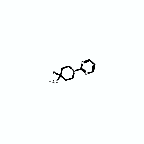 O=C(O)C1(F)CCN(c2ncccn2)CC1